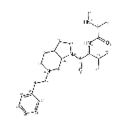 CNC(C)C(=O)N[C@H](C(=O)N1CCC2CCN(CCc3ccccc3)CC21)C(C)C